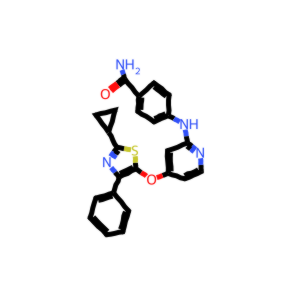 NC(=O)c1ccc(Nc2cc(Oc3sc(C4CC4)nc3-c3ccccc3)ccn2)cc1